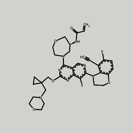 C#Cc1c(F)ccc2c1N(c1ncc3c(N4CCOC[C@@H](NC(=O)C=C)C4)nc(OCC4(CN5CCOCC5)CC4)nc3c1F)CCO2